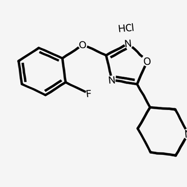 Cl.Fc1ccccc1Oc1noc(C2CCCNC2)n1